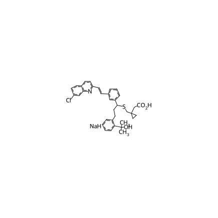 CC(C)(O)c1ccccc1CCC(SCC1(CC(=O)O)CC1)c1cccc(C=Cc2ccc3ccc(Cl)cc3n2)c1.[NaH]